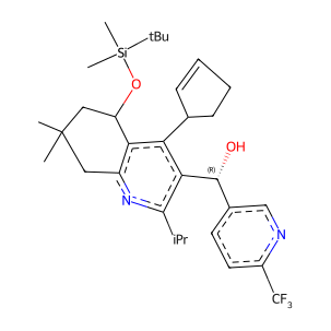 CC(C)c1nc2c(c(C3C=CCC3)c1[C@H](O)c1ccc(C(F)(F)F)nc1)C(O[Si](C)(C)C(C)(C)C)CC(C)(C)C2